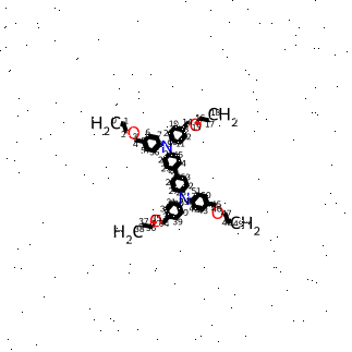 C=CCOCc1ccc(N(c2ccc(COCC=C)cc2)c2ccc(-c3ccc(N(c4ccc(COCC=C)cc4)c4ccc(COCC=C)cc4)cc3)cc2)cc1